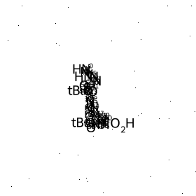 Cc1[nH]nc(Nc2ncnc3cc(OCC4CCN(c5cnc(C(=O)N6CCC7CCC(C(=O)O)N7C(=O)C(NC(=O)OC(C)(C)C)C6)cn5)CC4)c(S(=O)(=O)C(C)(C)C)cc23)c1C